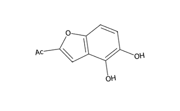 CC(=O)c1cc2c(O)c(O)ccc2o1